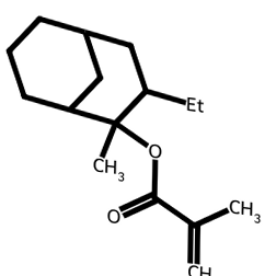 C=C(C)C(=O)OC1(C)C(CC)CC2CCCC1C2